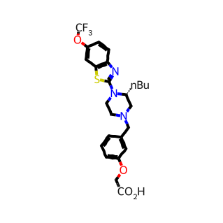 CCCC[C@@H]1CN(Cc2cccc(OCC(=O)O)c2)CCN1c1nc2ccc(OC(F)(F)F)cc2s1